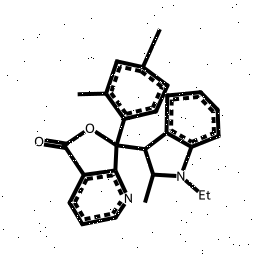 CCN1c2ccccc2C(C2(c3ccc(C)cc3C)OC(=O)c3cccnc32)C1C